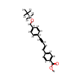 COC(=O)c1ccc(C=CC#Cc2ccc(CO[Si](C)(C)C(C)(C)C)cc2)cc1